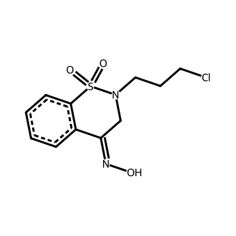 O=S1(=O)c2ccccc2C(=NO)CN1CCCCl